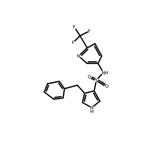 O=S(=O)(Nc1ccc(C(F)(F)F)nc1)c1c[nH]cc1Cc1ccccc1